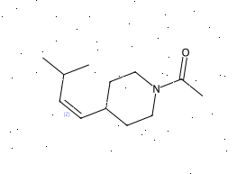 CC(=O)N1CCC(/C=C\C(C)C)CC1